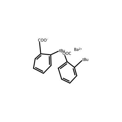 CC(C)(C)c1ccccc1C(=O)[O-].CC(C)(C)c1ccccc1C(=O)[O-].[Ba+2]